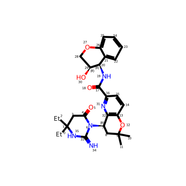 CCC1(CC)CC(=O)N([C@@H]2CC(C)(C)Oc3ccc(C(=O)N[C@@H]4c5ccccc5OC[C@@H]4O)nc32)C(=N)N1